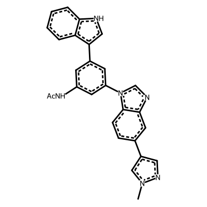 CC(=O)Nc1cc(-c2c[nH]c3ccccc23)cc(-n2cnc3cc(-c4cnn(C)c4)ccc32)c1